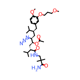 COCCCOc1cc(C[C@@H](C[C@H](N=[N+]=[N-])[C@H](C[C@H](C(=O)NCC(C)(C)C(N)=O)C(C)C)OC(C)=O)C(C)C)ccc1OC